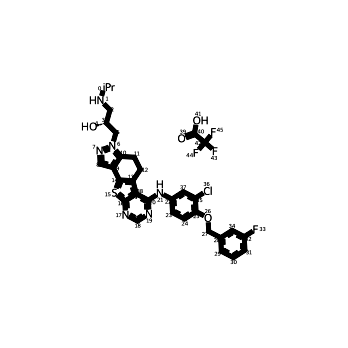 CC(C)NC[C@@H](O)Cn1ncc2c1CCc1c-2sc2ncnc(Nc3ccc(OCc4cccc(F)c4)c(Cl)c3)c12.O=C(O)C(F)(F)F